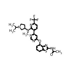 CC(=O)Nc1nc2c(Oc3cc(-c4ccc(C(F)(F)F)nc4N(C)C4CCN(C(C)C)C4)ncn3)cccc2s1